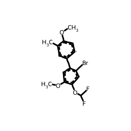 COc1c[c]c(-c2cc(OC)c(OC(F)F)cc2Br)cc1C